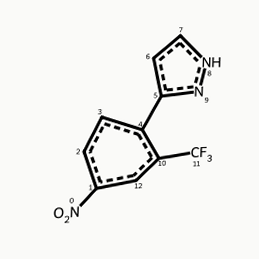 O=[N+]([O-])c1ccc(-c2cc[nH]n2)c(C(F)(F)F)c1